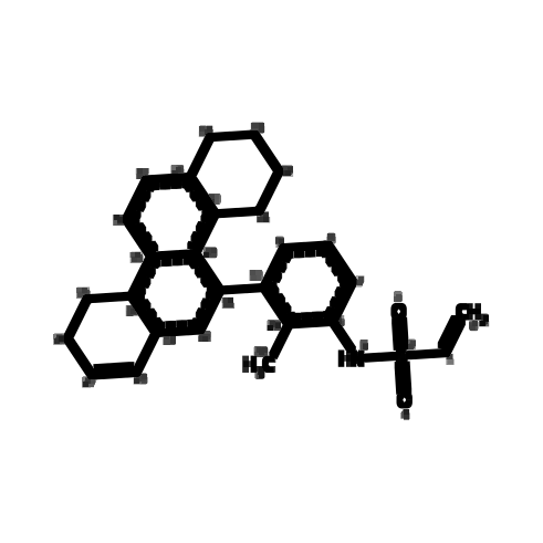 C=CS(=O)(=O)Nc1cccc(-c2cc3c(c4ccc5c(c24)CCCC5)CCC=C3)c1C